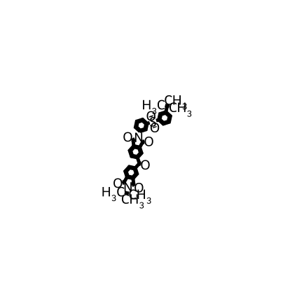 CC(C)(C)c1cccc(S(=O)(=O)c2cccc(N3C(=O)c4ccc(C(=O)c5ccc6c(c5)C(=O)N(C(C)(C)C)C6=O)cc4C3=O)c2)c1